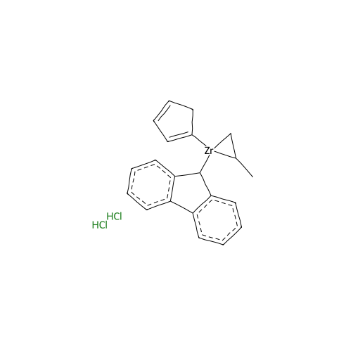 C[CH]1[CH2][Zr]1([C]1=CC=CC1)[CH]1c2ccccc2-c2ccccc21.Cl.Cl